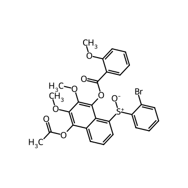 COc1ccccc1C(=O)Oc1c(OC)c(OC)c(OC(C)=O)c2cccc([S+]([O-])c3ccccc3Br)c12